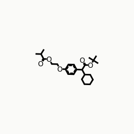 CC(C)C(=O)OCCOc1ccc(C(C(=O)OC(C)(C)C)C2CCCCC2)cc1